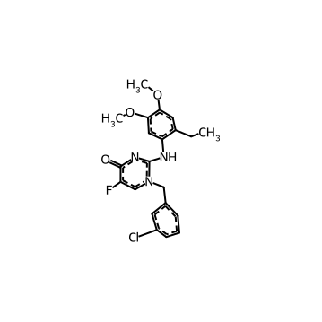 CCc1cc(OC)c(OC)cc1Nc1nc(=O)c(F)cn1Cc1cccc(Cl)c1